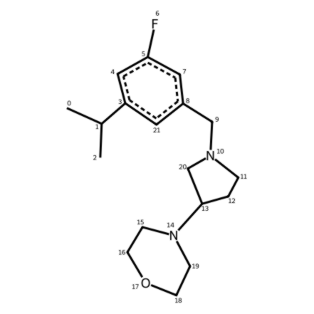 CC(C)c1cc(F)cc(CN2CCC(N3CCOCC3)C2)c1